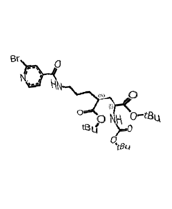 CC(C)(C)OC(=O)N[C@@H](C[C@H](CCCNC(=O)c1ccnc(Br)c1)C(=O)OC(C)(C)C)C(=O)OC(C)(C)C